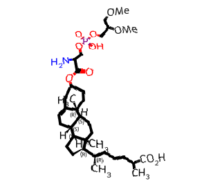 COCC(COP(=O)(O)OCC(N)C(=O)OC1CC[C@@]2(C)C(=CC[C@H]3[C@@H]4CC[C@H]([C@H](C)CCCC(C)C(=O)O)[C@@]4(C)CC[C@@H]32)C1)OC